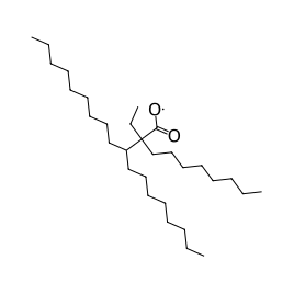 CCCCCCCCCC(CCCCCCCC)C(CC)(CCCCCCCC)C([O])=O